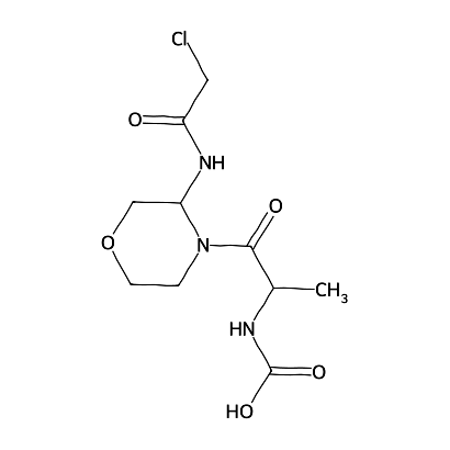 CC(NC(=O)O)C(=O)N1CCOCC1NC(=O)CCl